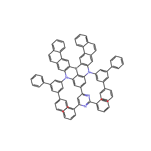 c1ccc(-c2cc(-c3ccccc3)cc(N3c4cc5ccc6ccccc6c5cc4B4c5cc6c(ccc7ccccc76)cc5N(c5cc(-c6ccccc6)cc(-c6ccccc6)c5)c5cc(-c6cc(-c7ccccc7)nc(-c7ccccc7)n6)cc3c54)c2)cc1